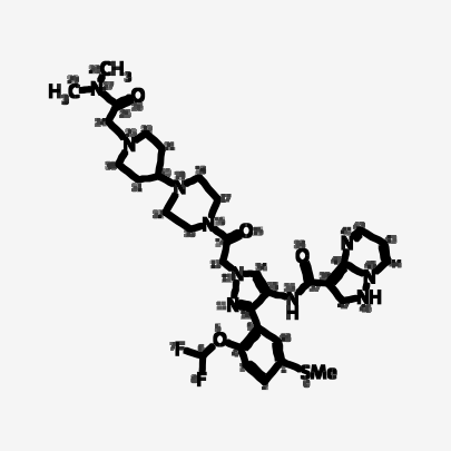 CSc1ccc(OC(F)F)c(-c2nn(CC(=O)N3CCN(C4CCN(CC(=O)N(C)C)CC4)CC3)cc2NC(=O)C2=C3N=CC=CN3NC2)c1